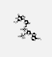 Nc1nc2c(nnn2[C@H]2C[C@@H](F)[C@@H](COP(=O)(S)O[C@H]3C[C@H](n4cnc5c(N)ncnc54)O[C@@H]3COP(=O)(O)S)O2)c(=O)[nH]1